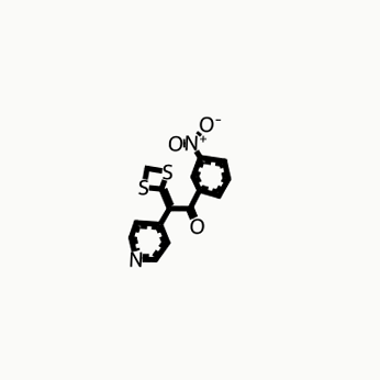 O=C(C(=C1SCS1)c1ccncc1)c1cccc([N+](=O)[O-])c1